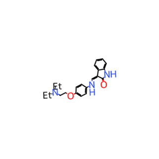 CCN(CC)CCOc1ccc(NC=C2C(=O)Nc3ccccc32)cc1